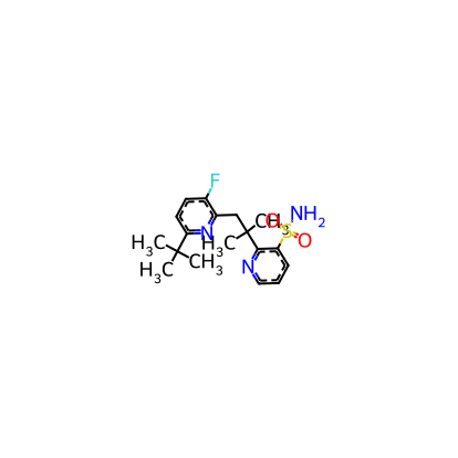 CC(C)(C)c1ccc(F)c(CC(C)(C)c2ncccc2S(N)(=O)=O)n1